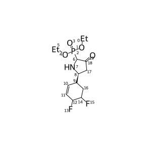 CCOP(=O)(OCC)C1N[C@H](C2C=CC(F)C(F)C2)CC1=O